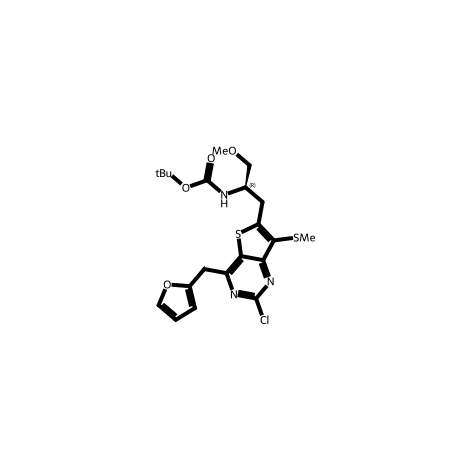 COC[C@@H](Cc1sc2c([CH]c3ccco3)nc(Cl)nc2c1SC)NC(=O)OC(C)(C)C